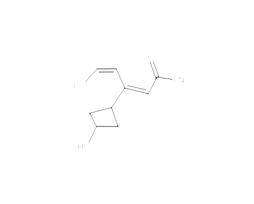 C=C(C#N)/C=C(\C=C/C)C1CC(O)C1